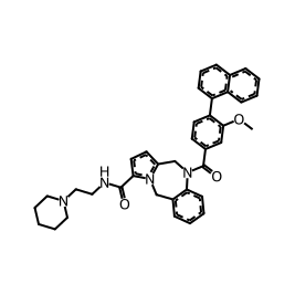 COc1cc(C(=O)N2Cc3ccc(C(=O)NCCN4CCCCC4)n3Cc3ccccc32)ccc1-c1cccc2ccccc12